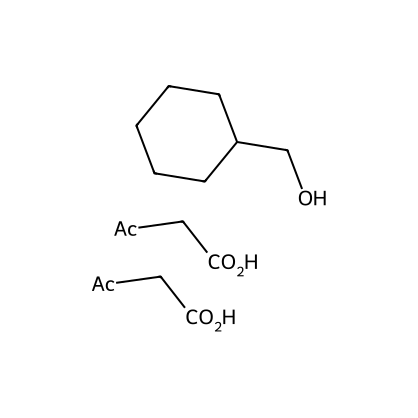 CC(=O)CC(=O)O.CC(=O)CC(=O)O.OCC1CCCCC1